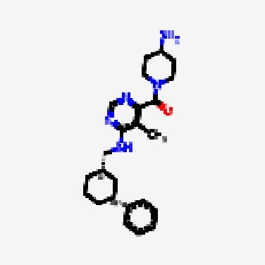 Cc1c(NC[C@H]2CCC[C@@H](c3ccccc3)C2)ncnc1C(=O)N1CCC(N)CC1